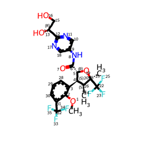 COc1c([C@H]2[C@H](C(=O)Nc3cnc([C@@H](O)CO)nc3)O[C@@](C)(C(F)(F)F)[C@H]2C)cccc1C(F)(F)F